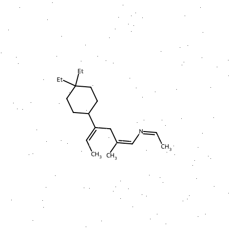 C/C=N\C=C(\C)C/C(=C\C)C1CCC(CC)(CC)CC1